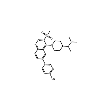 CC(C1CCN(c2c(S(C)(=O)=O)cnc3ccc(-c4cnc(C#N)nc4)cc23)CC1)N(C)C